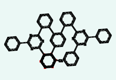 N#Cc1ccccc1-c1ccc(-c2ccccc2-c2nc(-c3ccccc3)nc(-c3ccccc3)n2)c(-c2ccccc2-c2nc(-c3ccccc3)nc(-c3ccccc3)n2)c1